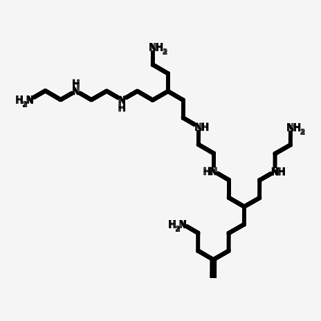 C=C(CCN)CCCC(CCNCCN)CCNCCNCCC(CCN)CCNCCNCCN